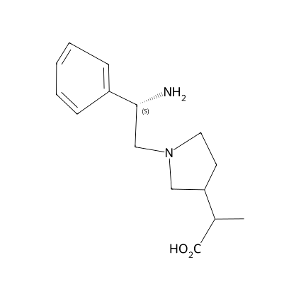 CC(C(=O)O)C1CCN(C[C@@H](N)c2ccccc2)C1